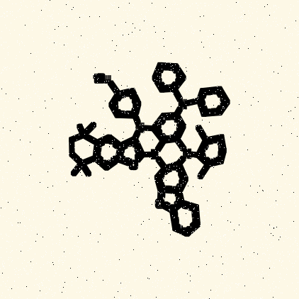 Cc1cccc(C)c1N1c2cc3c(cc2B2c4oc5cc6c(cc5c4N(c4ccc(C(C)(C)C)cc4)c4cc(N(c5ccccc5)c5ccccc5)cc1c42)C(C)(C)CCC6(C)C)oc1ccccc13